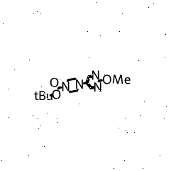 COc1ncc(N2CCN(C(=O)OC(C)(C)C)CC2)cn1